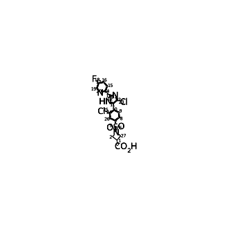 O=C(O)C1CN(S(=O)(=O)c2ccc(-c3[nH]c(-c4ccc(F)cn4)nc3Cl)c(Cl)c2)C1